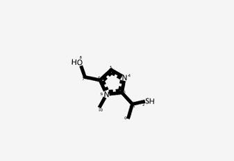 CC(S)c1ncc(CO)n1C